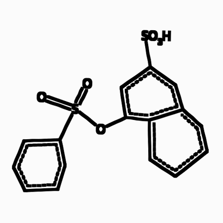 O=S(=O)(O)c1cc(OS(=O)(=O)c2ccccc2)c2ccccc2c1